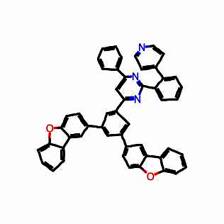 c1ccc(-c2cc(-c3cc(-c4ccc5oc6ccccc6c5c4)cc(-c4ccc5oc6ccccc6c5c4)c3)nc(-c3ccccc3-c3ccncc3)n2)cc1